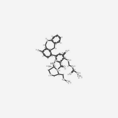 COCC1COC[C@H]2Nn3c(-c4ccc(F)c5c4Cc4ccccc4SC5)cc(=O)c(OCOC(=O)OC)c3C(=O)N12